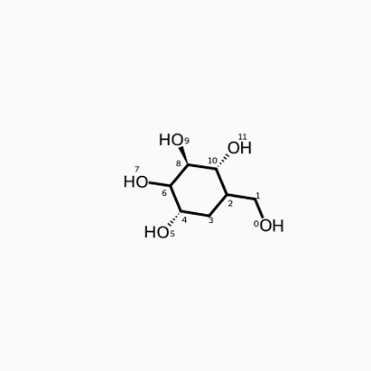 OCC1C[C@H](O)C(O)[C@@H](O)[C@@H]1O